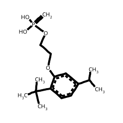 C=P(O)(O)OCCOc1cc(C(C)C)ccc1C(C)(C)C